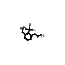 CCCc1cccc(CO)c1C(F)(F)F